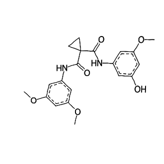 COc1cc(O)cc(NC(=O)C2(C(=O)Nc3cc(OC)cc(OC)c3)CC2)c1